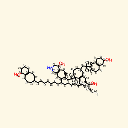 CCCCCCCC(CCCCCCCC1CCCC2=C(CCCC2O)CC1)C1CC2=C(CCC1CC(C)(C)C1(C)CCCC(CC(C)(C)C3CCCC4=C(CCC(O)C4)C3)C/C(CCC(O)CC)=C\1C)C(O)CNC2